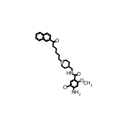 COc1cc(N)c(Cl)cc1C(=O)NCC1CCN(CCCCCC(=O)c2ccc3ccccc3c2)CC1